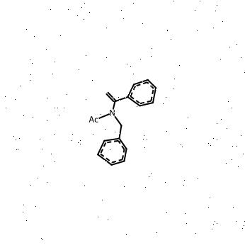 C=C(c1ccccc1)N(Cc1ccccc1)C(C)=O